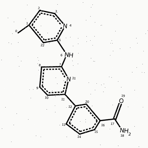 Cc1ccnc(Nc2cccc(-c3cccc(C(N)=O)c3)n2)c1